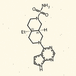 CC[C@@]12CCN(c3ncnc4[nH]ccc34)C[C@@H]1CN(S(N)(=O)=O)CC2